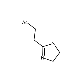 CC(=O)CCC1=NCCS1